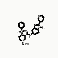 CCCCCCN1CCN(S(=O)(=O)c2ccccc2)[C@H](C(=O)Nc2ccc3c(c2)nc(-c2cccnc2)n3CC)C1